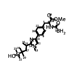 BC(=O)NC(Cc1ccc(-c2cn(C)c(C(C)CC(C)(C)[Si](C)(C)O)n2)cc1)C(=O)OC